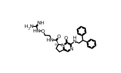 N=C(N)NOCCNC(=O)[C@@H]1CCc2cnc(NCC(c3ccccc3)c3ccccc3)c(=O)n21